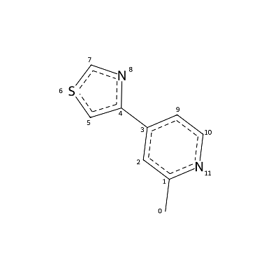 Cc1cc(-c2cscn2)ccn1